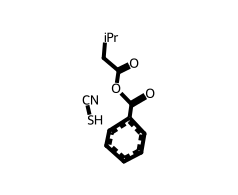 CC(C)CC(=O)OC(=O)c1ccccc1.N#CS